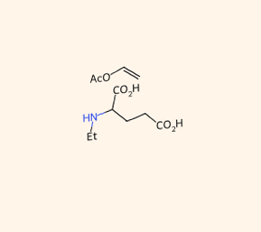 C=COC(C)=O.CCNC(CCC(=O)O)C(=O)O